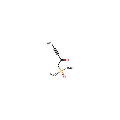 CCCC#CC(=O)CP(=O)(OC)OC